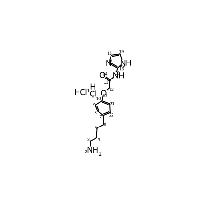 Cl.Cl.NCCCCc1ccc(OCC(=O)Nc2ncc[nH]2)cc1